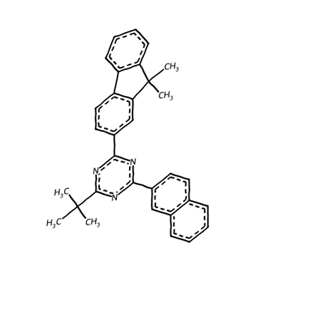 CC(C)(C)c1nc(-c2ccc3c(c2)C(C)(C)c2ccccc2-3)nc(-c2ccc3ccccc3c2)n1